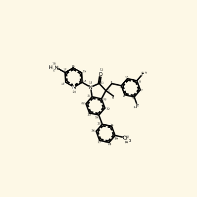 CC1(Cc2cc(F)cc(F)c2)C(=O)N(c2ccc(N)cn2)c2ccc(-c3cccc(C(F)(F)F)c3)cc21